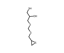 OC(CS)CSCSCC1CS1